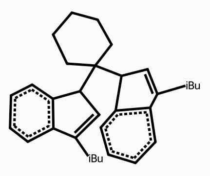 CCC(C)C1=CC(C2(C3C=C(C(C)CC)c4ccccc43)CCCCC2)c2ccccc21